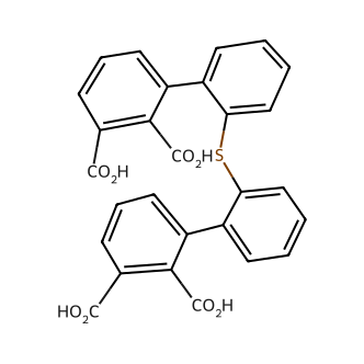 O=C(O)c1cccc(-c2ccccc2Sc2ccccc2-c2cccc(C(=O)O)c2C(=O)O)c1C(=O)O